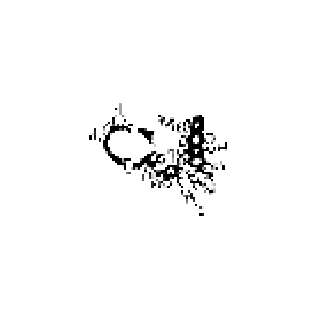 COc1cccc2c1C(=O)c1c(O)c3c(c(O)c1C2=O)C[C@@](O)(C(=O)CO)C[C@@H]3O[C@H]1CC(NC(=O)CC2(C(=O)O)CCCCCCCC(C)(C)CCC3CC3C2)[C@H](O)C(C)O1